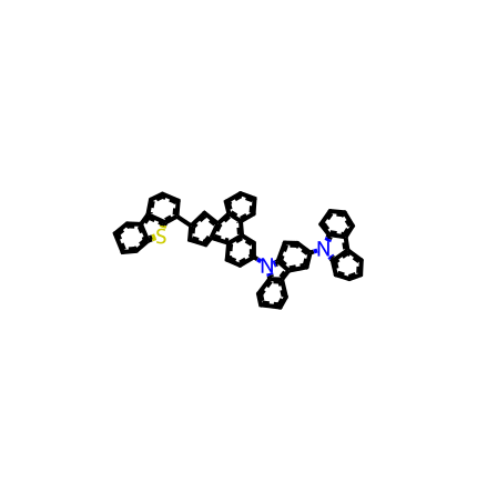 c1ccc2c(c1)sc1c(-c3ccc4c5ccc(-n6c7ccccc7c7cc(-n8c9ccccc9c9ccccc98)ccc76)cc5c5ccccc5c4c3)cccc12